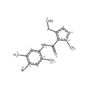 Cc1cc(NC(=O)c2c(CC=O)cnn2C)c(C)cc1Br